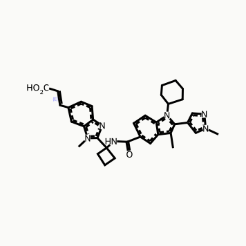 Cc1c(-c2cnn(C)c2)n(C2CCCCC2)c2ccc(C(=O)NC3(c4nc5ccc(/C=C/C(=O)O)cc5n4C)CCC3)cc12